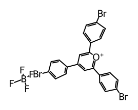 Brc1ccc(-c2cc(-c3ccc(Br)cc3)[o+]c(-c3ccc(Br)cc3)c2)cc1.F[B-](F)(F)F